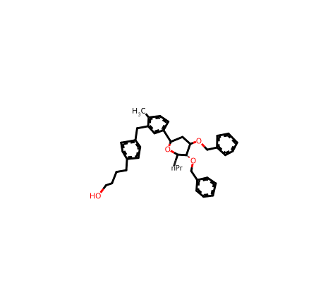 CCCC1OC(c2ccc(C)c(Cc3ccc(CCCCO)cc3)c2)CC(OCc2ccccc2)[C@@H]1OCc1ccccc1